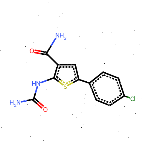 NC(=O)Nc1sc(-c2ccc(Cl)cc2)cc1C(N)=O